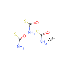 NC(=O)[S-].NC(=O)[S-].NC(=O)[S-].[Al+3]